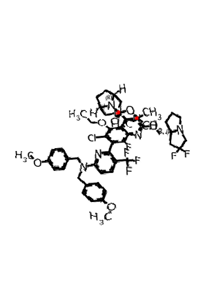 CCOc1c(Cl)c(-c2nc(N(Cc3ccc(OC)cc3)Cc3ccc(OC)cc3)ccc2C(F)(F)F)c(F)c2nc(OC[C@]34CCCN3CC(F)(F)C4)nc(N3C[C@H]4CC[C@@H](C3)N4C(=O)OC(C)(C)C)c12